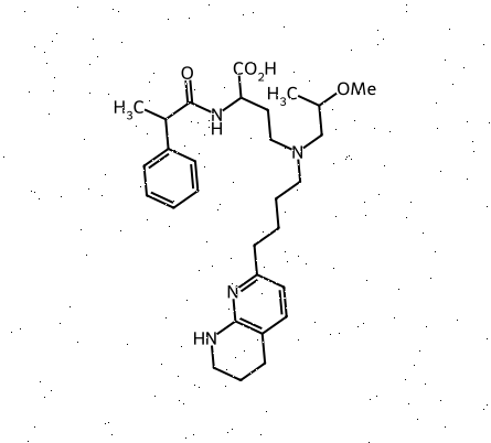 COC(C)CN(CCCCc1ccc2c(n1)NCCC2)CCC(NC(=O)C(C)c1ccccc1)C(=O)O